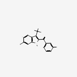 CCn1c(C(=O)c2cccc(Cl)c2)c(C(CC)(C(=O)O)C(=O)O)c2ccc(Cl)cc21